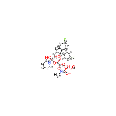 CC(CCC(O)(OC(=O)C(=O)ON(C)C(=O)O)N1CCCCC1)C(O)(c1ccc(F)cc1)c1ccc(F)cc1.O